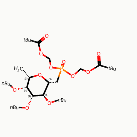 CCCCO[C@@H]1[C@H](OCCCC)[C@H](C)O[C@H](CP(=O)(OCOC(=O)C(C)(C)C)OCOC(=O)C(C)(C)C)[C@H]1OCCCC